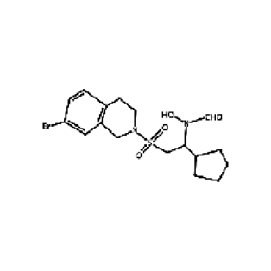 O=CN(O)C(CS(=O)(=O)N1CCc2ccc(Br)cc2C1)C1CCCC1